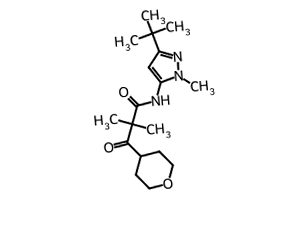 Cn1nc(C(C)(C)C)cc1NC(=O)C(C)(C)C(=O)C1CCOCC1